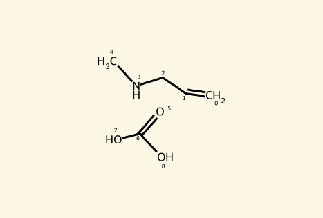 C=CCNC.O=C(O)O